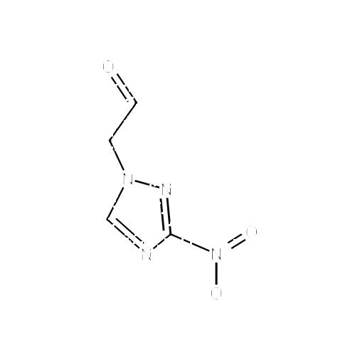 O=CCn1cnc([N+](=O)[O-])n1